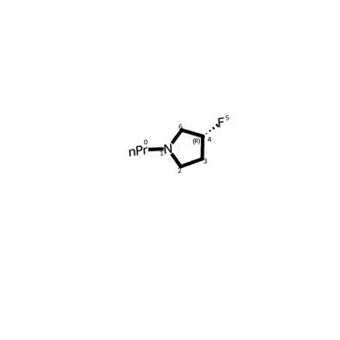 CCCN1CC[C@@H](F)C1